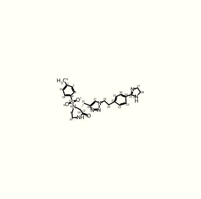 Cc1ccc(S(=O)(=O)N2CCNC(=O)[C@H]2Cc2cn(CCc3ccc(C4=NCCN4)cc3)nn2)cc1